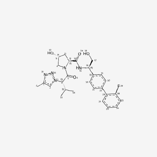 Cc1cn([C@H](C(=O)N2C[C@H](O)C[C@H]2C(=O)N[C@@H](CO)c2ccc(-c3ccccc3F)cc2)C(C)C)nn1